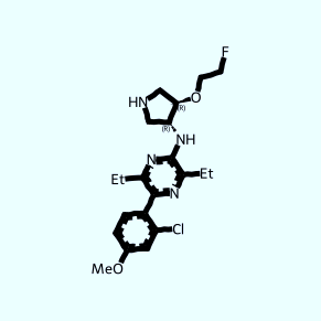 CCc1nc(-c2ccc(OC)cc2Cl)c(CC)nc1N[C@@H]1CNC[C@H]1OCCF